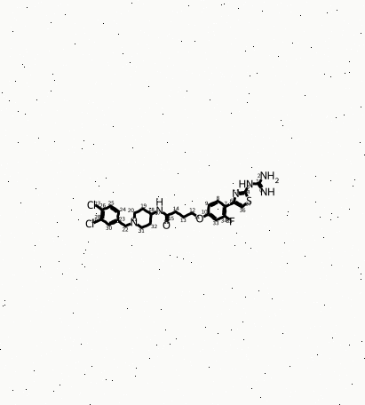 N=C(N)Nc1nc(-c2ccc(OCCCC(=O)NC3CCN(Cc4ccc(Cl)c(Cl)c4)CC3)cc2F)cs1